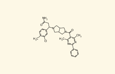 Cc1ccc(C(CC(N)=O)N2CC3CN(C(=O)c4c(C)nc(-c5ccccc5)nc4C)CC3C2)cc1Cl